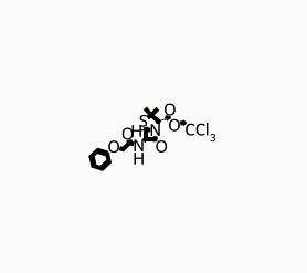 CC1(C)S[C@@H]2C(NC(=O)COc3ccccc3)C(=O)N2[C@H]1C(=O)OCC(Cl)(Cl)Cl